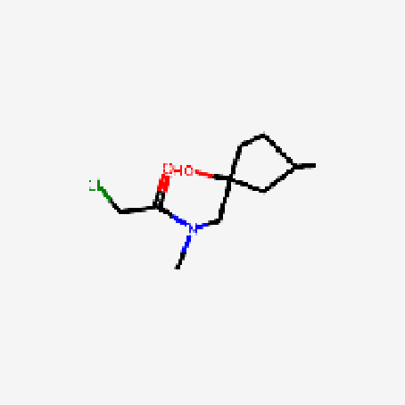 CC1CCC(O)(CN(C)C(=O)CCl)C1